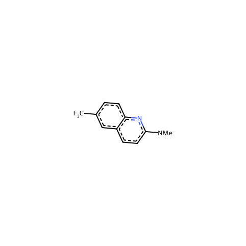 CNc1ccc2cc(C(F)(F)F)ccc2n1